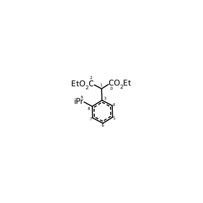 CCOC(=O)C(C(=O)OCC)c1ccccc1C(C)C